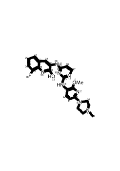 COc1nc(N2CCN(C)CC2)ccc1Nc1nccc(Nc2cc3cccc(F)c3nc2O)n1